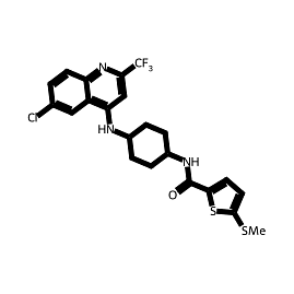 CSc1ccc(C(=O)NC2CCC(Nc3cc(C(F)(F)F)nc4ccc(Cl)cc34)CC2)s1